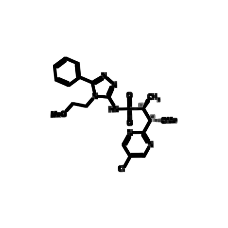 COCCn1c(NS(=O)(=O)[C@@H](C)[C@H](OC)c2ncc(Cl)cn2)nnc1-c1ccccc1